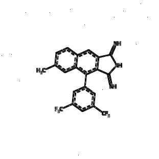 Cc1ccc2cc3c(c(-c4cc(C(F)(F)F)cc(C(F)(F)F)c4)c2c1)C(=N)NC3=N